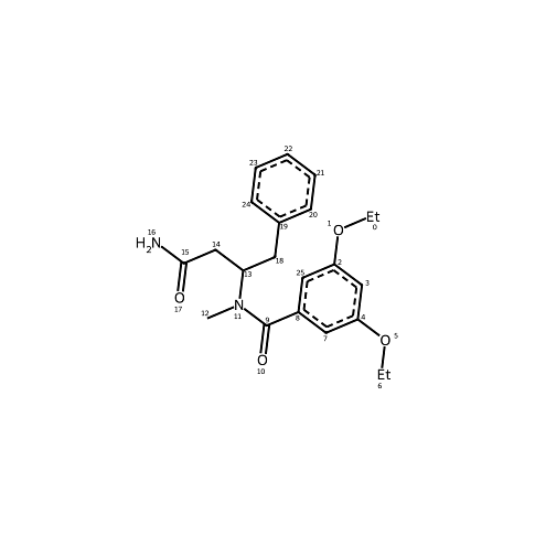 CCOc1cc(OCC)cc(C(=O)N(C)C(CC(N)=O)Cc2ccccc2)c1